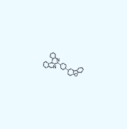 c1ccc2c(c1)cnc1c(-c3ccc(-c4ccc5oc6ccccc6c5c4)cc3)nc3ccccc3c12